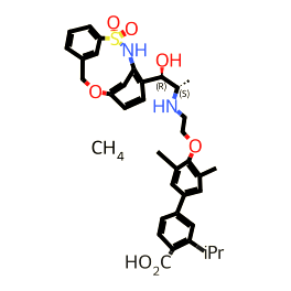 C.Cc1cc(-c2ccc(C(=O)O)c(C(C)C)c2)cc(C)c1OCCN[C@@H](C)[C@H](O)c1ccc2cc1NS(=O)(=O)c1cccc(c1)CO2